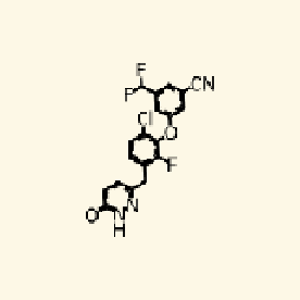 N#Cc1cc(Oc2c(Cl)ccc(Cc3ccc(=O)[nH]n3)c2F)cc(C(F)F)c1